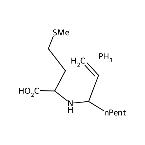 C=CC(CCCCC)NC(CCSC)C(=O)O.P